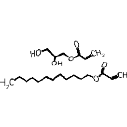 C=CC(=O)OCC(O)CO.C=CC(=O)OCCCCCCCCCCCC